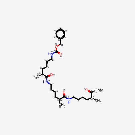 COC(=O)[C@@H](C)CCCCNC(=O)[C@@H](C)CCCCNC(=O)[C@@H](C)CCCCNC(=O)OCc1ccccc1